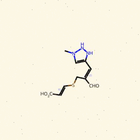 CN1C=C(/C=C(/C=O)CS/C=C/C(=O)O)NN1